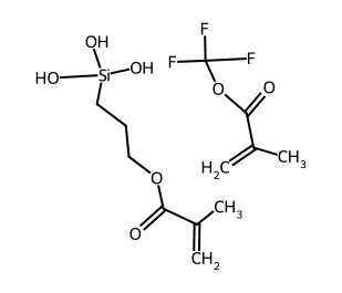 C=C(C)C(=O)OC(F)(F)F.C=C(C)C(=O)OCCC[Si](O)(O)O